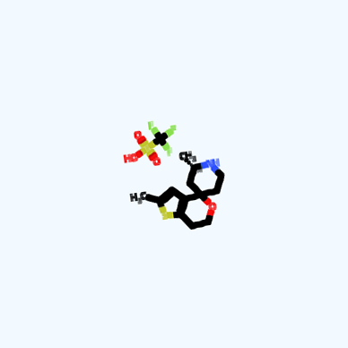 Cc1cc2c(s1)CCOC21CCN[C@@H](C)C1.O=S(=O)(O)C(F)(F)F